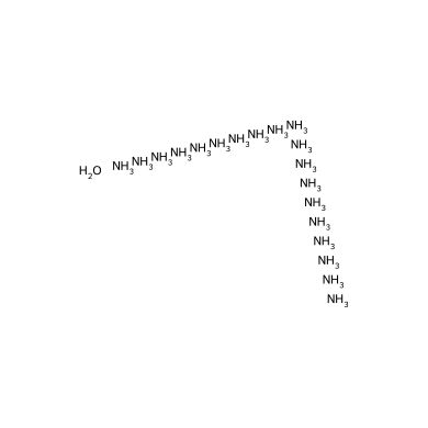 N.N.N.N.N.N.N.N.N.N.N.N.N.N.N.N.N.N.N.O